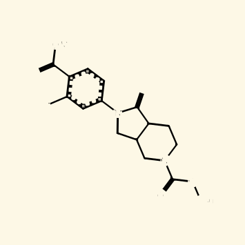 COC(=O)c1ccc(N2CC3CN(C(=O)OC(C)(C)C)CCC3C2=O)cc1Cl